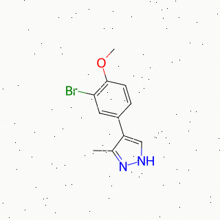 COc1ccc(-c2c[nH]nc2C)cc1Br